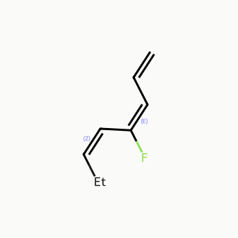 C=C/C=C(F)\C=C/CC